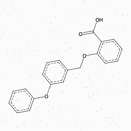 O=C(O)c1ccccc1OCc1cccc(Oc2ccccc2)c1